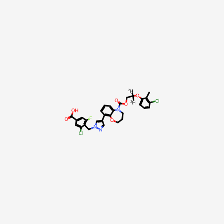 [2H]C([2H])(COC(=O)N1CCCOc2c(-c3cnn(Cc4c(F)cc(C(=O)O)cc4Cl)c3)cccc21)Oc1cccc(Cl)c1C